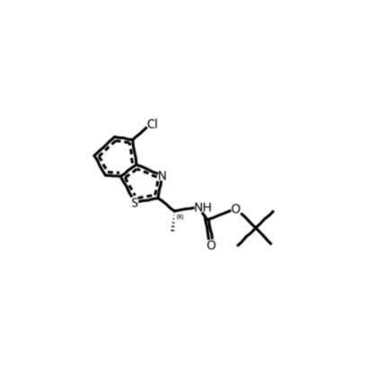 C[C@@H](NC(=O)OC(C)(C)C)c1nc2c(Cl)cccc2s1